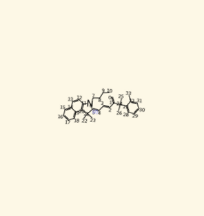 C=C(C=C/C=C1\N(CCCC)c2ccc3ccccc3c2C1(C)C)C(C)(C)c1ccccc1C